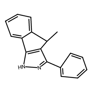 CC1c2ccccc2-c2[nH]nc(-c3ccccc3)c21